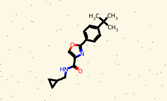 CC(C)(C)c1ccc(-c2nc(C(=O)NCC3CC3)co2)cc1